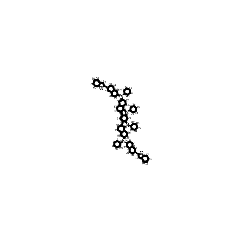 c1ccc(N(c2ccc3cc(-c4cc5ccccc5o4)ccc3c2)c2ccc3c(ccc4c5cc6c7ccc8cc(N(c9ccccc9)c9ccc%10cc(-c%11cc%12ccccc%12o%11)ccc%10c9)ccc8c7n(-c7ccccc7)c6cc5n(-c5ccccc5)c34)c2)cc1